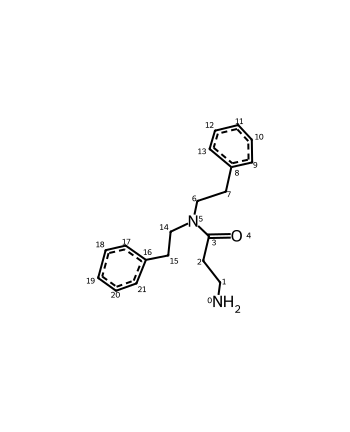 NCCC(=O)N(CCc1ccccc1)CCc1ccccc1